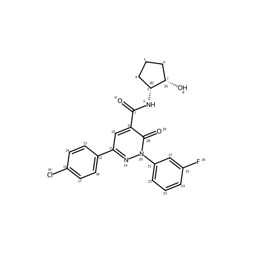 O=C(N[C@@H]1CCC[C@@H]1O)c1cc(-c2ccc(Cl)cc2)nn(-c2cccc(F)c2)c1=O